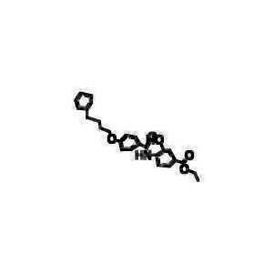 CCOC(=O)c1ccc(NC(=O)c2ccc(OCCCCc3ccccc3)cc2)c(O)c1